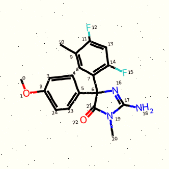 COc1ccc(C2(c3cc(C)c(F)cc3F)N=C(N)N(C)C2=O)cc1